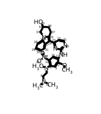 COc1cc(N(C)CCN(C)C)c([N+](=O)[O-])cc1Nc1nccc(-c2c3n(c4ccccc24)CC(O)CC3)n1